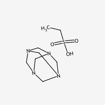 C1N2CN3CN1CN(C2)C3.CCS(=O)(=O)O